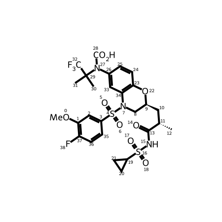 COc1cc(S(=O)(=O)N2C[C@H](C[C@H](C)C(=O)NS(=O)(=O)C3CC3)Oc3ccc(N(C(=O)O)C(C)(C)C(F)(F)F)cc32)ccc1F